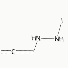 C=C=CNNI